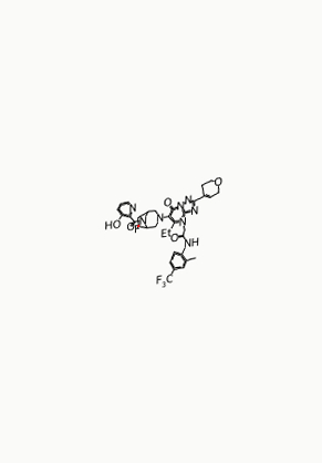 CCc1c(N2CC3CC(F)C(C2)N3C(=O)c2ncccc2O)c(=O)n2nc(C3=CCOCC3)nc2n1CC(=O)Nc1ccc(C(F)(F)F)cc1C